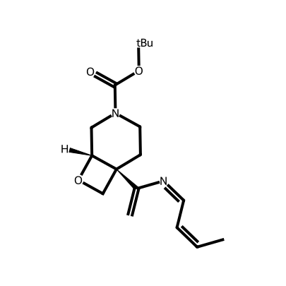 C=C(/N=C\C=C/C)[C@]12CCN(C(=O)OC(C)(C)C)C[C@H]1OC2